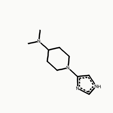 CN(C)C1CCN(c2c[nH]cn2)CC1